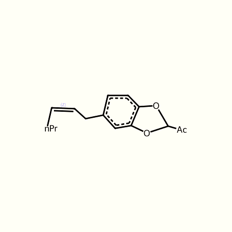 CCC/C=C\Cc1ccc2c(c1)OC(C(C)=O)O2